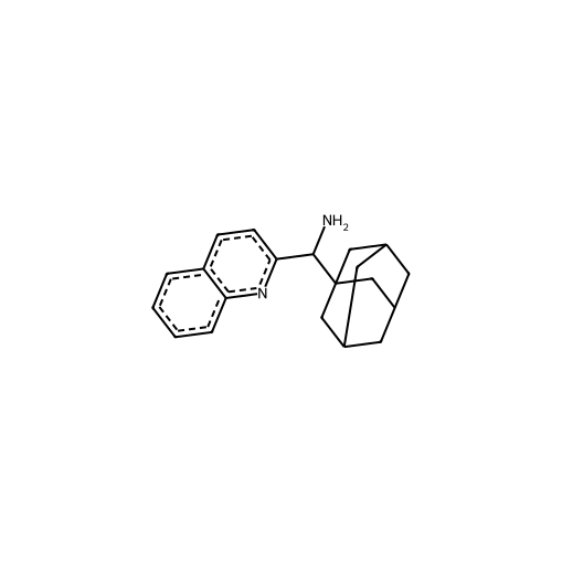 NC(c1ccc2ccccc2n1)C12CC3CC(CC(C3)C1)C2